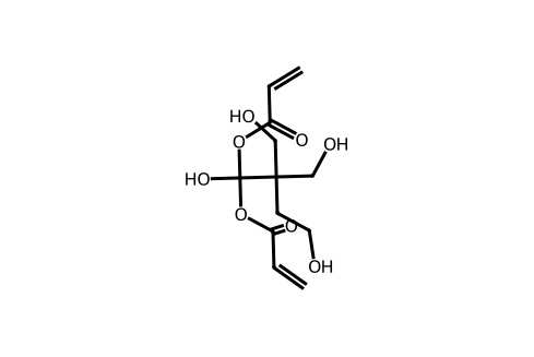 C=CC(=O)OC(O)(OC(=O)C=C)C(CO)(CO)CCO